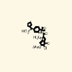 COc1cc2c(cc(C(=O)NC3(c4ccc(C(C(=O)O)C5CCCC5)cc4)COC3)n2C)c(Cl)c1Cl